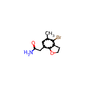 Cc1cc(CC(N)=O)c2c(c1Br)CCO2